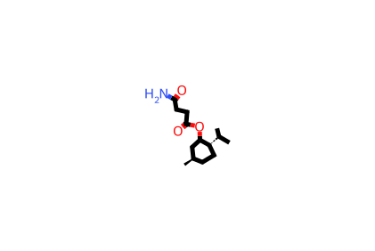 CC(C)[C@@H]1CC[C@@H](C)CC1OC(=O)CCC(N)=O